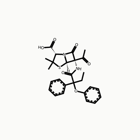 CCC(Oc1ccccc1)(C(=O)N[C@@]1(C(C)=O)C(=O)N2[C@@H](C(=O)O)C(C)(C)S[C@@H]21)c1ccccc1